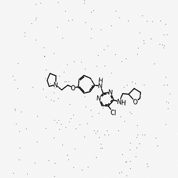 Clc1cnc(NC2=CC=C(OCCN3CCCC3)C=CC2)nc1NCC1CCCO1